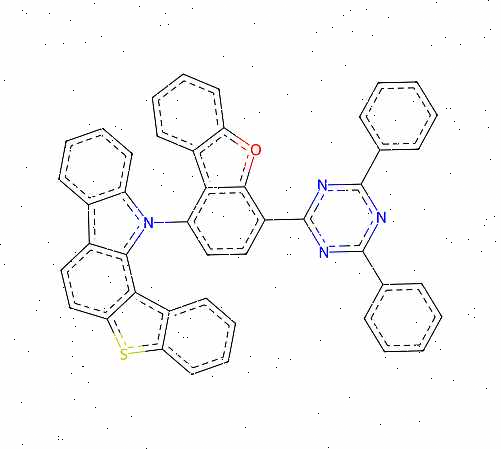 c1ccc(-c2nc(-c3ccccc3)nc(-c3ccc(-n4c5ccccc5c5ccc6sc7ccccc7c6c54)c4c3oc3ccccc34)n2)cc1